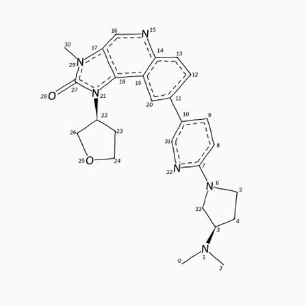 CN(C)[C@@H]1CCN(c2ccc(-c3ccc4ncc5c(c4c3)n([C@H]3CCOC3)c(=O)n5C)cn2)C1